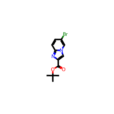 CC(C)(C)OC(=O)c1cn2cc(Br)ccc2n1